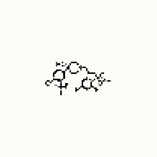 CC1OC(CCCN2CCC(O)(c3ccc(Cl)c(C(F)(F)F)c3)CC2)(c2ccc(F)cc2F)O1